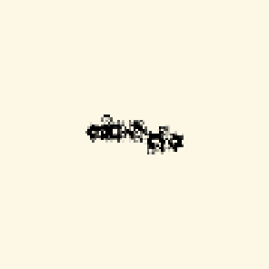 O=C1c2cccn2CC12CCN(c1cnc(Sc3ccnc(-n4cccn4)c3Cl)cn1)CC2